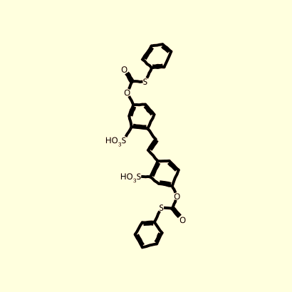 O=C(Oc1ccc(C=Cc2ccc(OC(=O)Sc3ccccc3)cc2S(=O)(=O)O)c(S(=O)(=O)O)c1)Sc1ccccc1